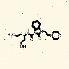 CCC[C@@H](CCO)NC(=O)n1c(=O)n(CCN2CCOCC2)c2ccccc21